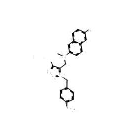 CCOC(=O)c1nnn(Cc2ccc(OC)cc2)c1CN(C)c1ccc2cc(Cl)ccc2c1